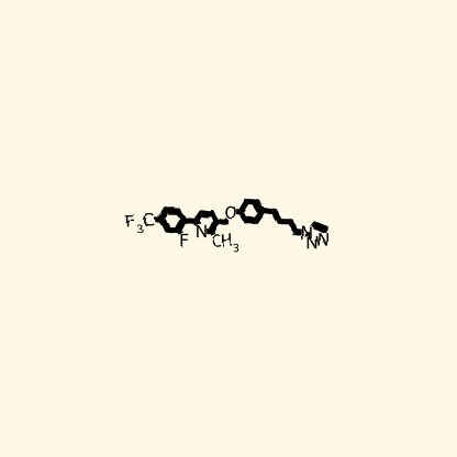 Cc1nc(-c2ccc(C(F)(F)F)cc2F)ccc1COc1ccc(CCCCn2ccnn2)cc1